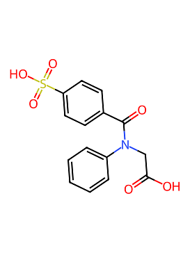 O=C(O)CN(C(=O)c1ccc(S(=O)(=O)O)cc1)c1ccccc1